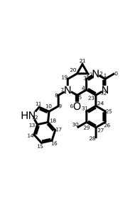 Cc1ncc(C(=O)N(CCc2c[nH]c3ccccc23)CC2CC2)c(-c2ccc(C)c(C)c2)n1